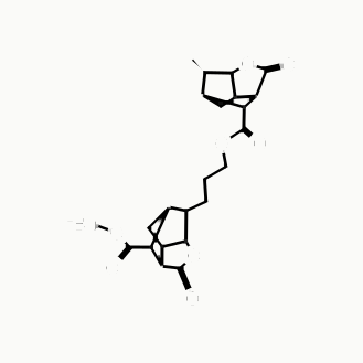 C[C@@H]1C2CC3C(C(=O)OC31)C2C(=O)OCCCC1C2CC3C1OC(=O)C3C2C(=O)OC(C)(C)C